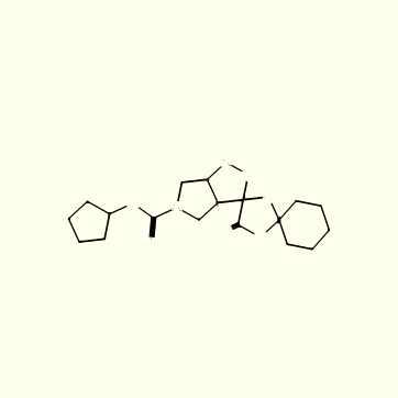 O=C(OC1CCCC1)N1C[C@H]2NOC3(OC4(CCCCC4)OC3=O)[C@H]2C1